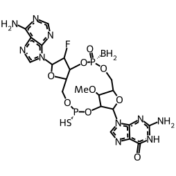 B[P@]1(=O)OCC2OC(n3cnc4c(=O)[nH]c(N)nc43)C(O[P@](S)OCC3OC(n4cnc5c(N)ncnc54)C(F)C3O1)C2OC